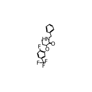 CCC(Oc1cc(C(F)(F)F)ccc1F)C(=O)NCc1ccccc1